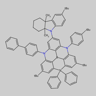 CC(C)(C)c1ccc(N2c3cc(N4c5ccc(C(C)(C)C)cc5C5(C)CCCCC45C)cc4c3B3c5c(cc(C(C)(C)C)cc5[Si](c5ccccc5)(c5ccccc5)c5cc(C(C)(C)C)cc2c53)N4c2ccc(-c3ccccc3)cc2)cc1